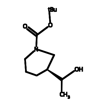 CC(O)[C@H]1CCCN(C(=O)OC(C)(C)C)C1